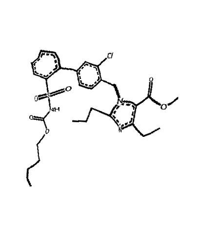 CCCCOC(=O)NS(=O)(=O)c1ccccc1-c1ccc(Cn2c(CCC)nc(CC)c2C(=O)OC)c(Cl)c1